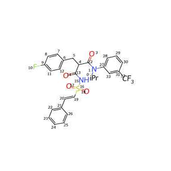 CC(C)N(C(=O)C(Cc1ccc(F)cc1)C(=O)NS(=O)(=O)C=Cc1ccccc1)c1cccc(C(F)(F)F)c1